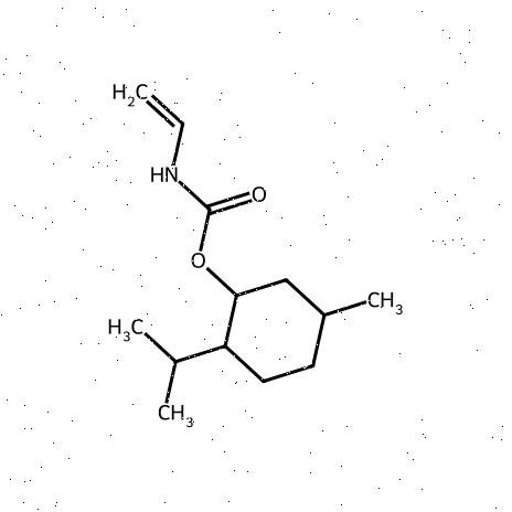 C=CNC(=O)OC1CC(C)CCC1C(C)C